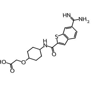 N=C(N)c1ccc2cc(C(=O)NC3CCC(OCC(=O)O)CC3)sc2c1